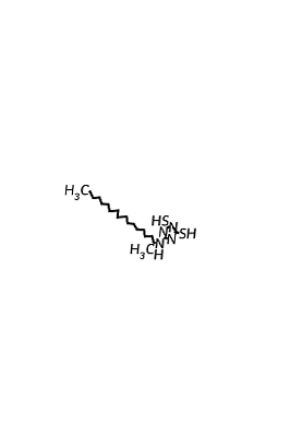 CCCCCCCCCCCCCCCCC(C)Nc1nc(S)nc(S)n1